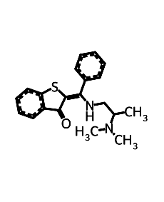 CC(CN/C(=C1/Sc2ccccc2C1=O)c1ccccc1)N(C)C